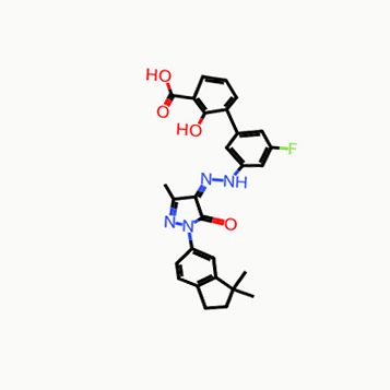 CC1=NN(c2ccc3c(c2)C(C)(C)CC3)C(=O)/C1=N\Nc1cc(F)cc(-c2cccc(C(=O)O)c2O)c1